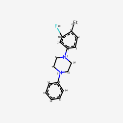 CCc1ccc(N2CCN(c3ccccc3)CC2)cc1F